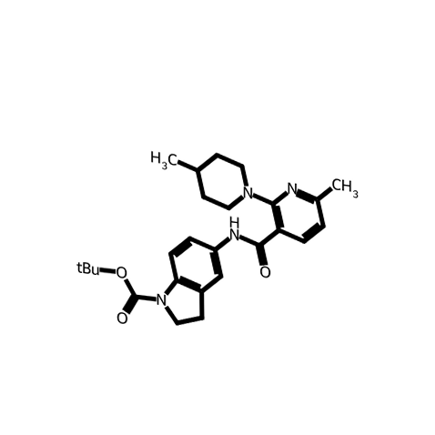 Cc1ccc(C(=O)Nc2ccc3c(c2)CCN3C(=O)OC(C)(C)C)c(N2CCC(C)CC2)n1